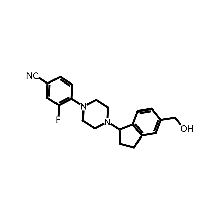 N#Cc1ccc(N2CCN(C3CCc4cc(CO)ccc43)CC2)c(F)c1